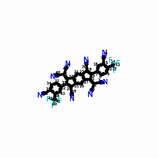 N#CC(C#N)=C1C(c2ccc(C(F)(F)F)c(C#N)c2)=C(C#N)c2cc3c(cc21)C(C#N)=C(c1ccc(C#N)c(C(F)(F)F)c1)C3=C(C#N)C#N